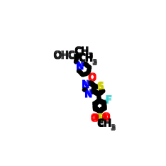 CC(C)(C=O)CN1CCC(Oc2ncnc3c(-c4ccc(S(C)(=O)=O)cc4F)csc23)CC1